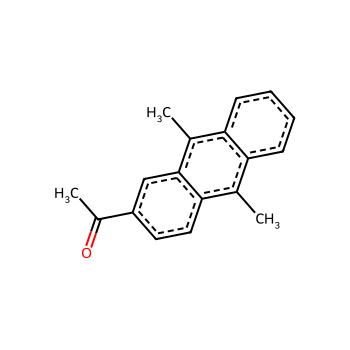 CC(=O)c1ccc2c(C)c3ccccc3c(C)c2c1